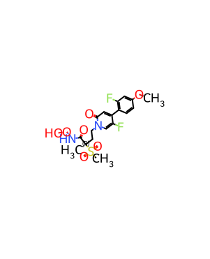 COc1ccc(-c2cc(=O)n(CC[C@](C)(C(=O)NOO)S(C)(=O)=O)cc2F)c(F)c1